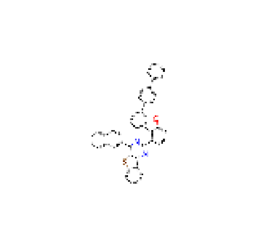 c1ccc(-c2ccc(-c3cccc4c3oc3cccc(-c5nc(-c6ccc7ccccc7c6)c6sc7ccccc7c6n5)c34)cc2)cc1